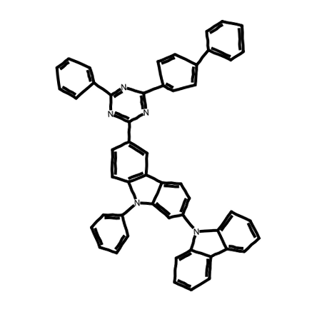 c1ccc(-c2ccc(-c3nc(-c4ccccc4)nc(-c4ccc5c(c4)c4ccc(-n6c7ccccc7c7ccccc76)cc4n5-c4ccccc4)n3)cc2)cc1